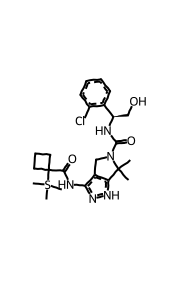 CC1(C)c2[nH]nc(NC(=O)C3(S(C)(C)C)CCC3)c2CN1C(=O)N[C@H](CO)c1ccccc1Cl